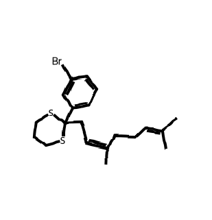 CC(C)=CCCC(C)=CCC1(c2cccc(Br)c2)SCCCS1